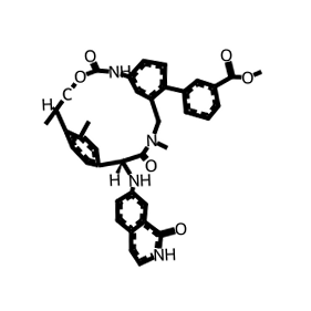 COC(=O)c1cccc(-c2ccc3cc2CN(C)C(=O)[C@H](Nc2ccc4cc[nH]c(=O)c4c2)c2ccc(c(C)c2)[C@@H](C)COC(=O)N3)c1